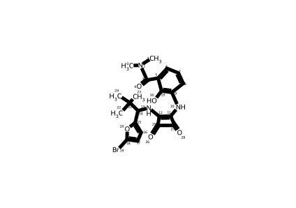 CN(C)C(=O)c1cccc(Nc2c(NC(c3ccc(Br)o3)C(C)(C)C)c(=O)c2=O)c1O